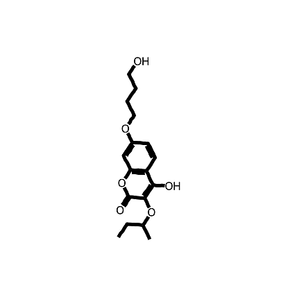 CCC(C)Oc1c(O)c2ccc(OCCCCO)cc2oc1=O